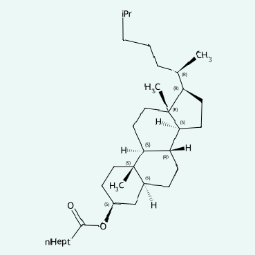 CCCCCCCC(=O)O[C@H]1CC[C@@]2(C)[C@@H](CC[C@@H]3[C@@H]2CC[C@]2(C)[C@@H]([C@H](C)CCCC(C)C)CC[C@@H]32)C1